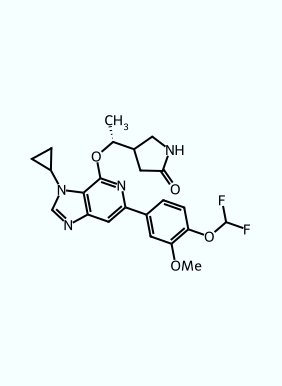 COc1cc(-c2cc3ncn(C4CC4)c3c(O[C@H](C)C3CNC(=O)C3)n2)ccc1OC(F)F